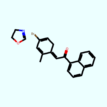 C1=NCCO1.CC1=CC(Br)=CCC1=CC(=O)c1cccc2ccccc12